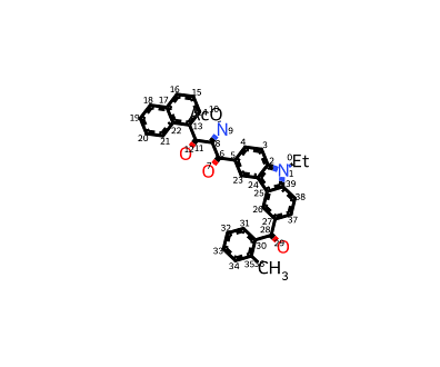 CCn1c2ccc(C(=O)C(=NOC(C)=O)C(=O)c3cccc4ccccc34)cc2c2cc(C(=O)c3ccccc3C)ccc21